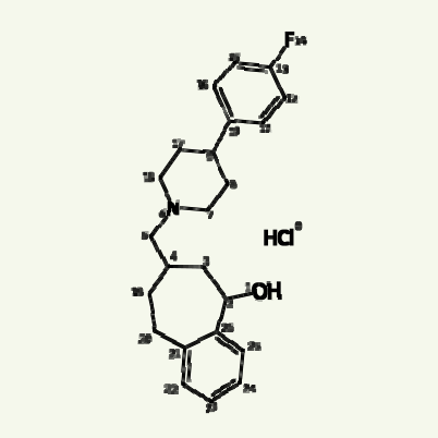 Cl.OC1CC(CN2CCC(c3ccc(F)cc3)CC2)CCc2ccccc21